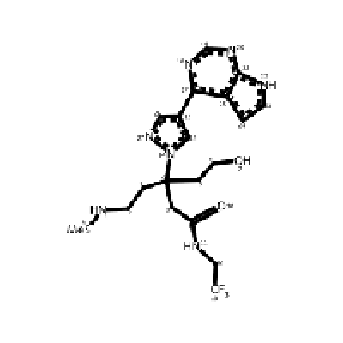 CSNCCC(CCO)(CC(=O)NCC(F)(F)F)n1cc(-c2ncnc3[nH]ccc23)cn1